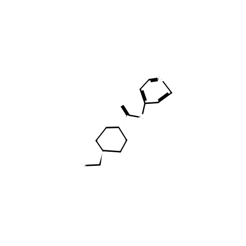 NC[C@H]1CC[C@H](C(=O)Nc2ccncc2)CC1